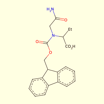 CCC(C(=O)O)N(CC(N)=O)C(=O)OCC1c2ccccc2-c2ccccc21